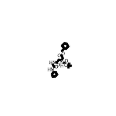 C[C@H](NC(=O)CC(CC(=O)OCc1ccccc1)NC(=O)OC(C)(C)C)C(=O)Nc1ccccc1